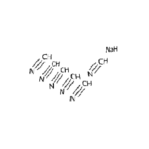 C#N.C#N.C#N.C#N.C#N.C#N.[NaH]